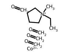 C=O.C=O.C=O.C=O.CC[N+]1(C)CCCC1.[Co+2]